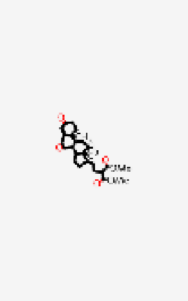 COC(=O)C(CCC1CCC2C3C4OC4C4=CC(=O)CCC4(C)C3CCC12C)C(=O)OC